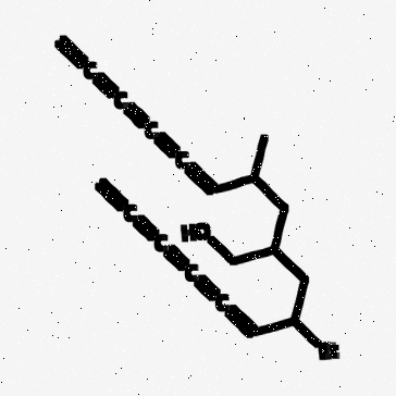 C=C=C=C=C=CC(C)CC(CO)CC(C=C=C=C=C=C)CC